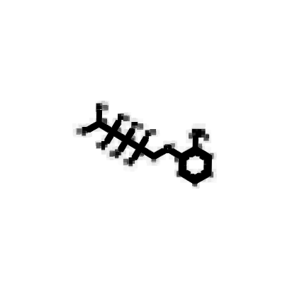 Nc1ccccc1OCC(F)(F)C(F)(F)C(F)(F)C(F)F